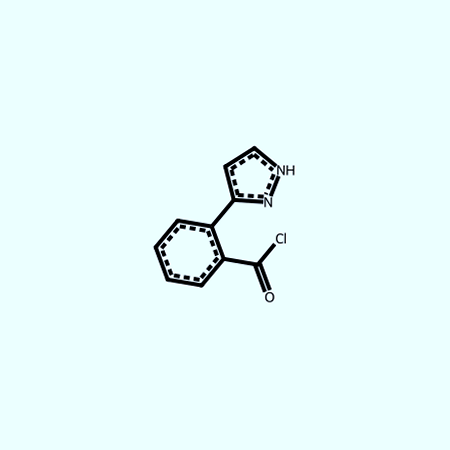 O=C(Cl)c1ccccc1-c1cc[nH]n1